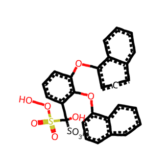 O=S(=O)(O)C(O)(c1cccc(Oc2cccc3ccccc23)c1Oc1cccc2ccccc12)S(=O)(=O)OO